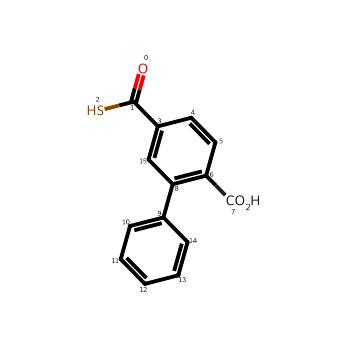 O=C(S)c1ccc(C(=O)O)c(-c2ccccc2)c1